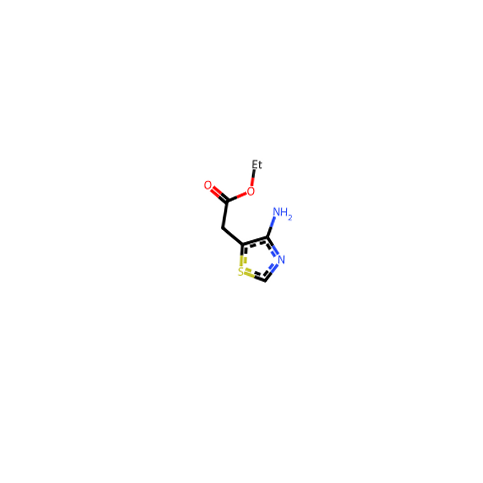 CCOC(=O)Cc1scnc1N